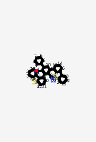 N#Cc1c(-c2ccccc2)cc(-c2cccc3c2sc2ccccc23)c(C#N)c1-c1cccc2sc3ccccc3c12